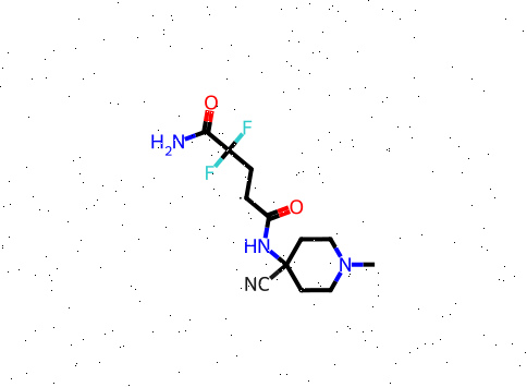 CN1CCC(C#N)(NC(=O)[CH]CC(F)(F)C(N)=O)CC1